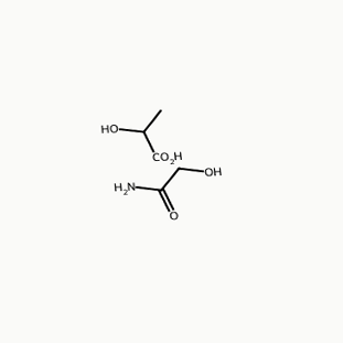 CC(O)C(=O)O.NC(=O)CO